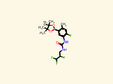 Cc1cc(F)c(NC(=O)NCC(F)C(F)F)cc1B1OC(C)(C)C(C)(C)O1